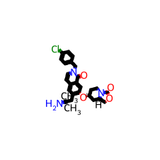 CC(C)(N)Cc1cc2ccn(Cc3ccc(Cl)cc3)c(=O)c2cc1O[C@H]1CCN2C(=O)OC[C@@H]2C1